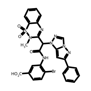 CN1C(C(C(=O)Nc2cc(C(=O)O)ccc2Br)n2ncn3nc(-c4ccccc4)cc23)=Nc2ccccc2S1(=O)=O